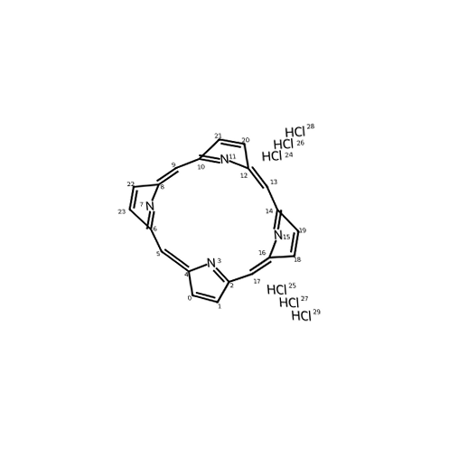 C1=CC2=NC1=CC1=NC(=CC3=NC(=CC4=NC(=C2)C=C4)C=C3)C=C1.Cl.Cl.Cl.Cl.Cl.Cl